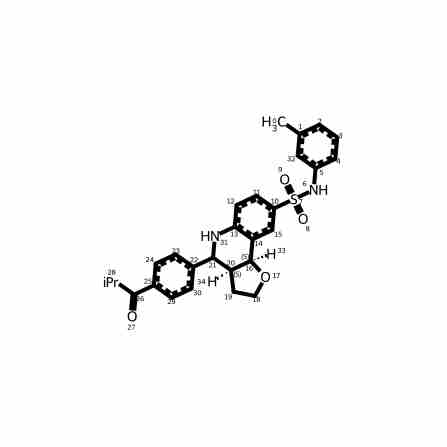 Cc1cccc(NS(=O)(=O)c2ccc3c(c2)[C@H]2OCC[C@H]2C(c2ccc(C(=O)C(C)C)cc2)N3)c1